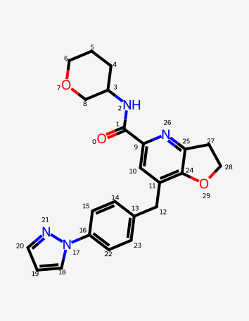 O=C(NC1CCCOC1)c1cc(Cc2ccc(-n3cccn3)cc2)c2c(n1)CCO2